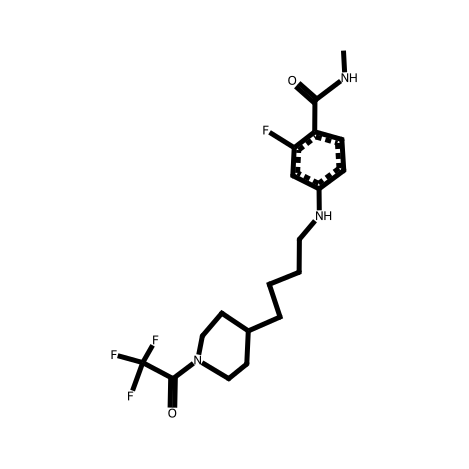 CNC(=O)c1ccc(NCCCCC2CCN(C(=O)C(F)(F)F)CC2)cc1F